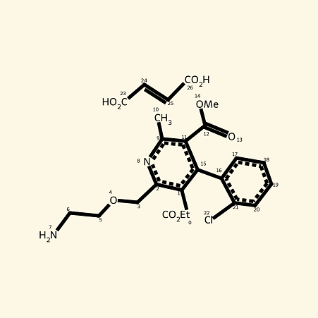 CCOC(=O)c1c(COCCN)nc(C)c(C(=O)OC)c1-c1ccccc1Cl.O=C(O)/C=C/C(=O)O